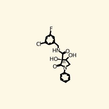 O=C(NCc1cc(F)cc(Cl)c1)[C@@]1(O)C(=O)N(c2ccccc2)CC1O